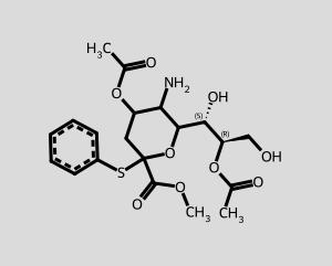 COC(=O)C1(Sc2ccccc2)CC(OC(C)=O)C(N)C([C@H](O)[C@@H](CO)OC(C)=O)O1